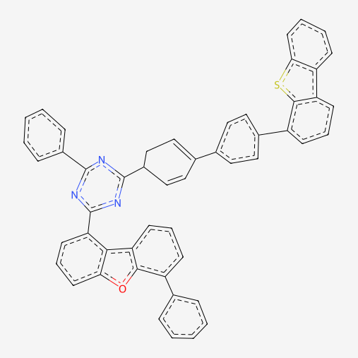 C1=CC(c2nc(-c3ccccc3)nc(-c3cccc4oc5c(-c6ccccc6)cccc5c34)n2)CC=C1c1ccc(-c2cccc3c2sc2ccccc23)cc1